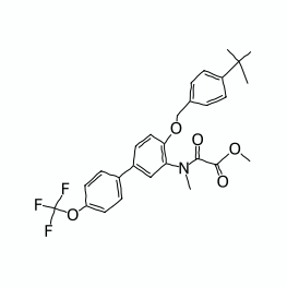 COC(=O)C(=O)N(C)c1cc(-c2ccc(OC(F)(F)F)cc2)ccc1OCc1ccc(C(C)(C)C)cc1